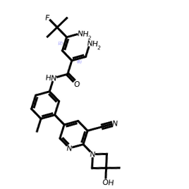 Cc1ccc(NC(=O)C(/C=C(\N)C(C)(C)F)=C/N)cc1-c1cnc(N2CC(C)(O)C2)c(C#N)c1